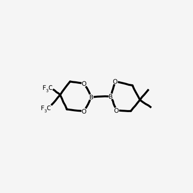 CC1(C)COB(B2OCC(C(F)(F)F)(C(F)(F)F)CO2)OC1